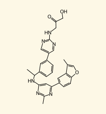 Cc1nc(NC(C)c2cccc(-c3cnc(NCC(=O)CO)nc3)c2)cc(-c2ccc3occ(C)c3c2)n1